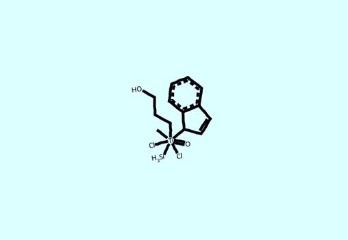 [CH3][Ti](=[O])([SiH3])([Cl])([Cl])([CH2]CCO)[CH]1C=Cc2ccccc21